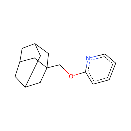 c1ccc(OCC23CC4CC(CC(C4)C2)C3)nc1